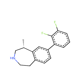 C[C@H]1CNCCc2ccc(-c3cccc(F)c3F)cc21